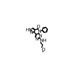 COCCCNc1ncc2c3n[nH]cc3c(=O)n(-c3ccccc3)c2n1